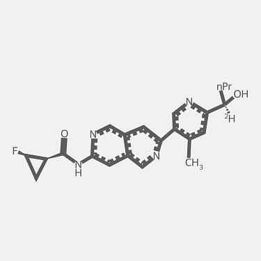 [2H][C@@](O)(CCC)c1cc(C)c(-c2cc3cnc(NC(=O)[C@H]4C[C@H]4F)cc3cn2)cn1